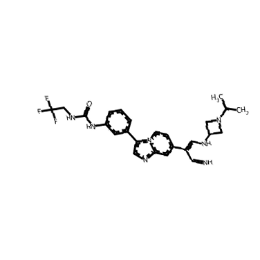 CC(C)N1CC(N/C=C(\C=N)c2ccn3c(-c4cccc(NC(=O)NCC(F)(F)F)c4)cnc3c2)C1